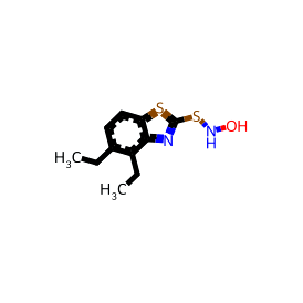 CCc1ccc2sc(SNO)nc2c1CC